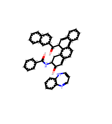 C1=CNc2ccccc2N=C1.O=C(NC1Cc2c3c(ccc2=CC1=O)=c1ccccc1=CC3C(=O)c1ccc2ccccc2c1)c1ccccc1